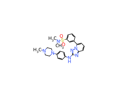 CN1CCN(c2ccc(Nc3nc4cccc(-c5cccc(S(=O)(=O)N(C)C)c5)n4n3)cc2)CC1